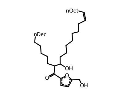 CCCCCCCC/C=C\CCCCCCCC(O)C(CCCCCCCCCCCCCCC)C(=O)c1ccc(CO)o1